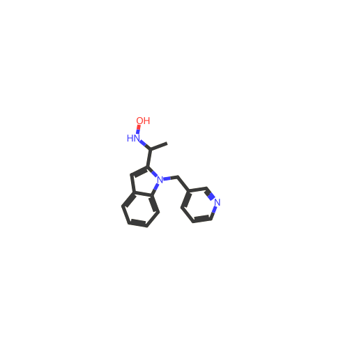 CC(NO)c1cc2ccccc2n1Cc1cccnc1